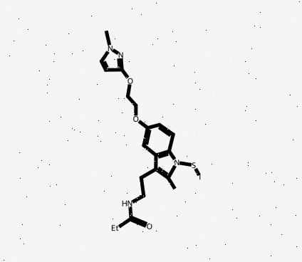 CCC(=O)NCCc1c(C)n(SI)c2ccc(OCCOc3ccn(C)n3)cc12